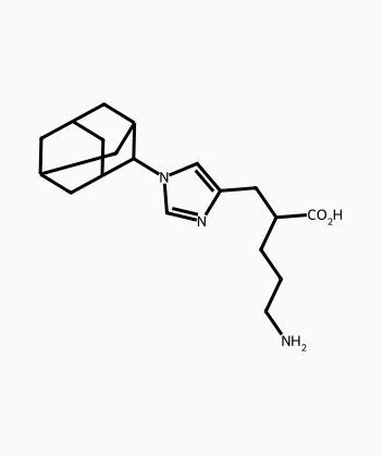 NCCCC(Cc1cn(C2C3CC4CC(C3)CC2C4)cn1)C(=O)O